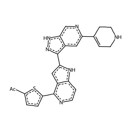 CC(=O)c1ccc(-c2nccc3[nH]c(-c4n[nH]c5cnc(C6=CCNCC6)cc45)cc23)s1